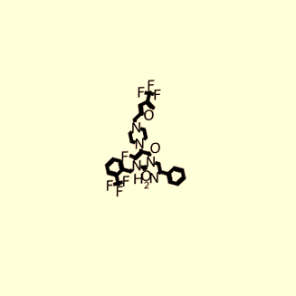 Cc1c(N2CCN(Cc3cc(C(F)(F)F)co3)CC2)c(=O)n(CC(N)c2ccccc2)c(=O)n1Cc1c(F)cccc1C(F)(F)F